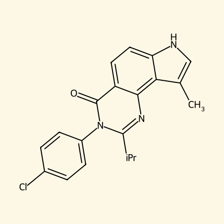 Cc1c[nH]c2ccc3c(=O)n(-c4ccc(Cl)cc4)c(C(C)C)nc3c12